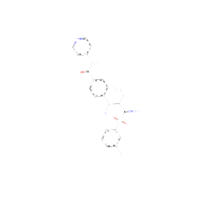 CCC(C(=N)S(=O)(=O)c1cccc(F)c1)C(N)c1ccc(C(=O)Nc2ccncc2)cc1